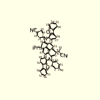 Cc1ccc(N(c2cc(C(C)C#N)c3ccc4c(N(c5ccc(C#N)cc5)c5cccc6c5oc5ccccc56)cc(C(C)C)c5ccc2c3c54)c2cccc3c2oc2ccccc23)cc1